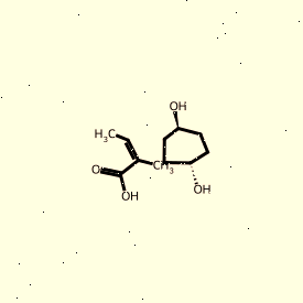 CC=C(C)C(=O)O.O[C@H]1CC[C@H](O)CC1